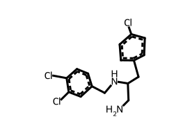 NCC(Cc1ccc(Cl)cc1)NCc1ccc(Cl)c(Cl)c1